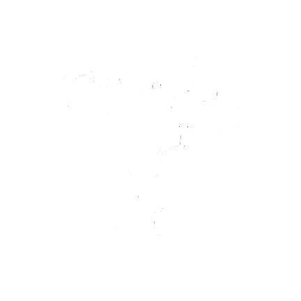 O=C(OOCOc1ccccc1C(=O)OOCOc1ccccc1)c1ccccc1